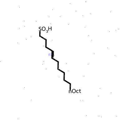 CCCCCCCCCCCCC/C=C/CCCS(=O)(=O)O